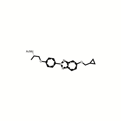 CC(=O)N[C@@H](C)COc1ccc(-n2nc3ccc(OCC4CC4)cc3n2)cc1